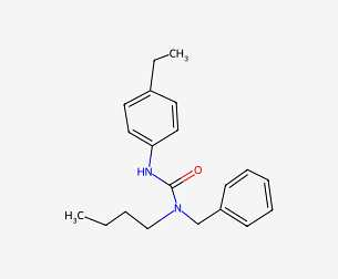 CCCCN(Cc1ccccc1)C(=O)Nc1ccc(CC)cc1